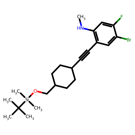 CNc1cc(F)c(Br)cc1C#CC1CCC(CO[Si](C)(C)C(C)(C)C)CC1